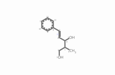 CC(CO)C(O)/C=C/c1ccccc1